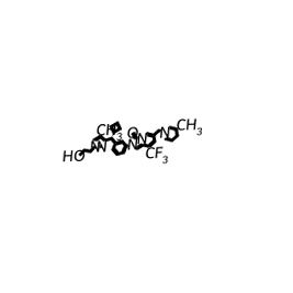 Cc1cn(CCO)nc1[C@@H](c1cccc(-n2cc3c(C(F)(F)F)cc(CN4CCC[C@H](C)C4)cn3c2=O)c1)C1CCC1